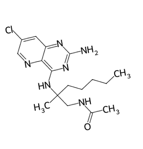 CCCCCC(C)(CNC(C)=O)Nc1nc(N)nc2cc(Cl)cnc12